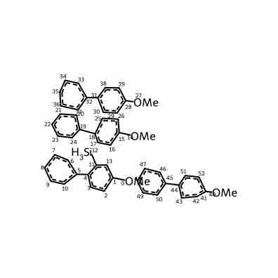 COc1ccc(-c2ccccc2)c([SiH3])c1.COc1ccc(-c2ccccc2)cc1.COc1ccc(-c2ccccc2)cc1.COc1ccc(-c2ccccc2)cc1